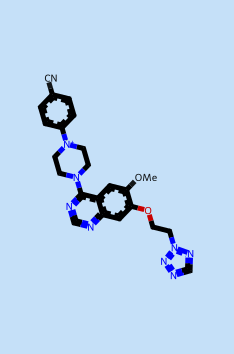 COc1cc2c(N3CC[N+](c4ccc(C#N)cc4)CC3)ncnc2cc1OCCn1ncnn1